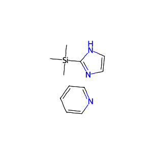 C[Si](C)(C)c1ncc[nH]1.c1ccncc1